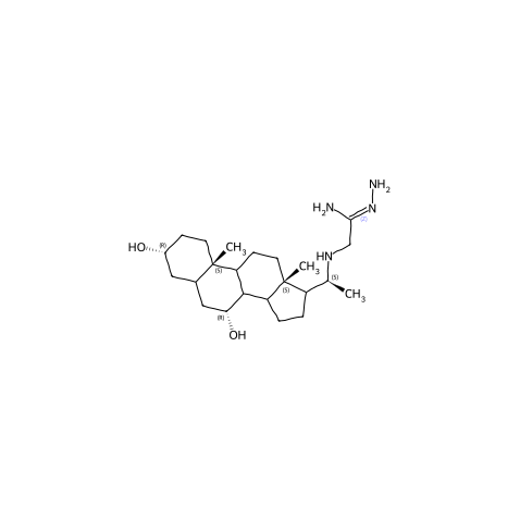 C[C@H](NC/C(N)=N/N)C1CCC2C3C(CC[C@@]21C)[C@@]1(C)CC[C@@H](O)CC1C[C@H]3O